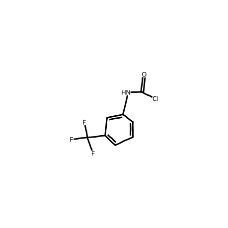 O=C(Cl)Nc1cccc(C(F)(F)F)c1